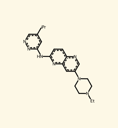 CCN1CCN(c2cnc3ccc(Nc4cc(C(C)C)cnn4)nc3c2)CC1